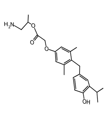 Cc1cc(OCC(=O)OC(C)CN)cc(C)c1Cc1ccc(O)c(C(C)C)c1